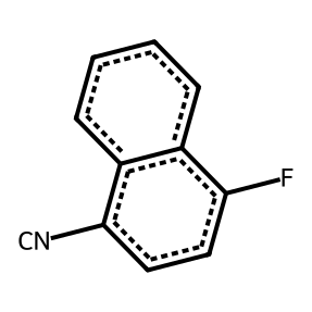 [C-]#[N+]c1ccc(F)c2ccccc12